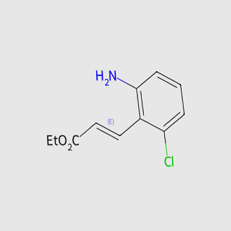 CCOC(=O)/C=C/c1c(N)cccc1Cl